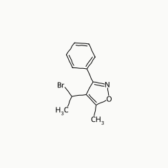 Cc1onc(-c2ccccc2)c1C(C)Br